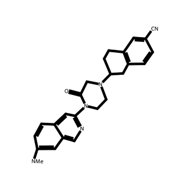 CNc1ccc2cc(N3CCN(C4CCc5cc(C#N)ccc5C4)CC3=O)ncc2c1